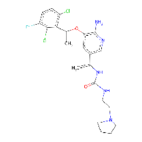 C=C(NC(=O)NCCN1CCCC1)c1cnc(N)c(OC(C)c2c(Cl)ccc(F)c2Cl)c1